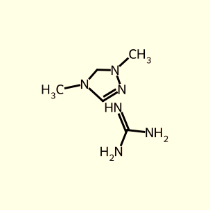 CN1C=NN(C)C1.N=C(N)N